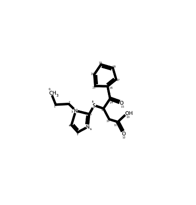 CCCn1ccnc1SC(CC(=O)O)C(=O)c1ccccc1